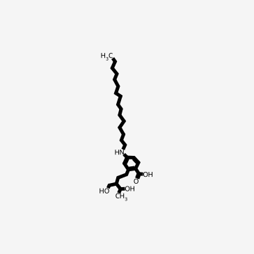 CCCCCCCCCCCCCCCCNc1ccc(C(=O)O)c(CCC(CO)C(C)O)c1